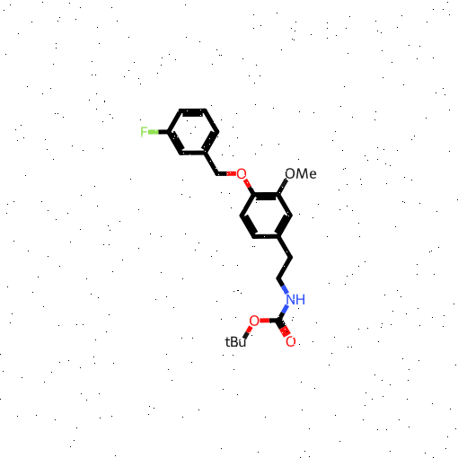 COc1cc(CCNC(=O)OC(C)(C)C)ccc1OCc1cccc(F)c1